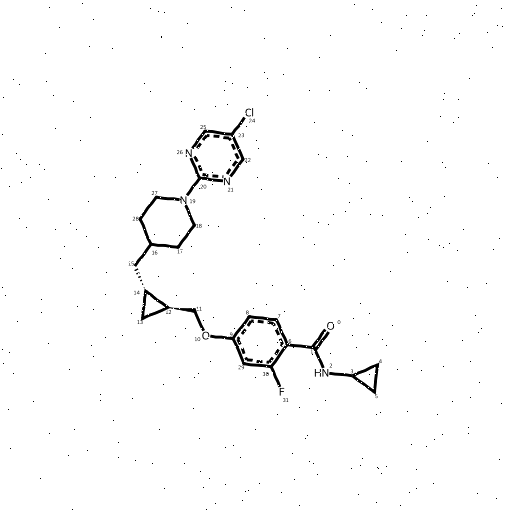 O=C(NC1CC1)c1ccc(OC[C@H]2C[C@@H]2CC2CCN(c3ncc(Cl)cn3)CC2)cc1F